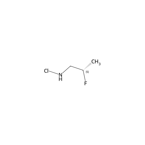 C[C@H](F)CNCl